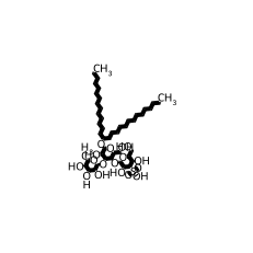 CCCCCCCCCCCCCCC(CCCCCCCCCCCCCC)O[C@@H]1OC(CO)[C@@H](O[C@@H]2OC(CO)[C@H](O)C(S(=O)(=O)O)C2O)C(O[C@@H]2OC(C)[C@@H](O)C(O)C2O)C1O